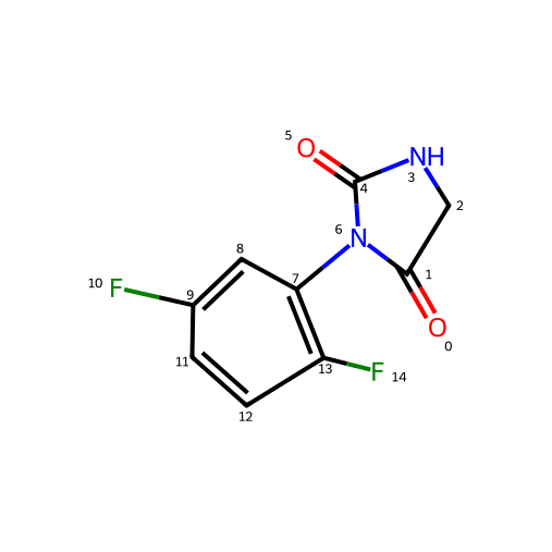 O=C1CNC(=O)N1c1cc(F)ccc1F